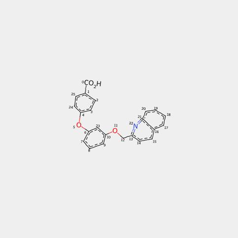 O=C(O)c1ccc(Oc2cccc(OCc3ccc4ccccc4n3)c2)cc1